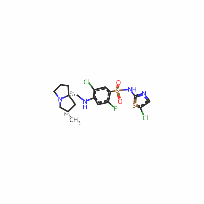 C[C@@H]1CN2CCC[C@@]2(CNc2cc(F)c(S(=O)(=O)Nc3ncc(Cl)s3)cc2Cl)C1